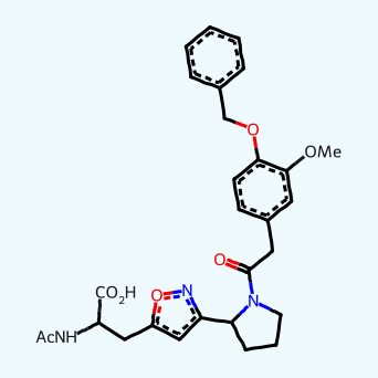 COc1cc(CC(=O)N2CCCC2c2cc(CC(NC(C)=O)C(=O)O)on2)ccc1OCc1ccccc1